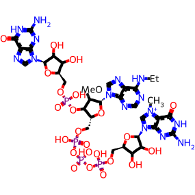 CCNc1ncnc2c1ncn2[C@@H]1O[C@H](COP(=O)(O)OP(=O)(O)OP(=O)(O)OC[C@H]2O[C@@H](n3c[n+](C)c4c(=O)[nH]c(N)nc43)C(O)C2O)C(OP(=O)(O)OC[C@H]2O[C@@H](n3cnc4c(=O)[nH]c(N)nc43)C(O)C2O)C1OC